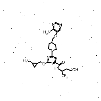 C[C@@H]1CC1COc1nc(C(=O)NC(CCO)C(F)(F)F)cc(N2CCC(COc3cncnc3N)CC2)n1